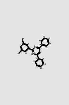 Cc1cc(I)cc(-c2nc(-c3ccccc3)nc(-c3ccccc3)n2)c1